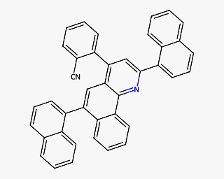 N#Cc1ccccc1-c1cc(-c2cccc3ccccc23)nc2c1cc(-c1cccc3ccccc13)c1ccccc12